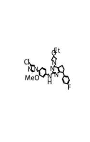 CCOC1CN(c2nc(Nc3ccc(-n4cnc(Cl)c4)c(OC)c3)nc3c2CCC3c2ccc(F)cc2)C1